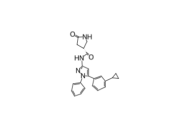 O=C1C[C@@H](C(=O)Nc2cc(-c3cccc(C4CC4)c3)n(-c3ccccc3)n2)CN1